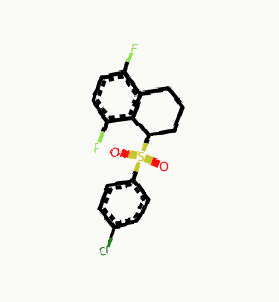 O=S(=O)(c1ccc(Cl)cc1)C1CCCc2c(F)ccc(F)c21